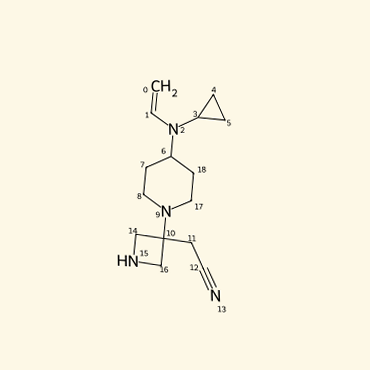 C=CN(C1CC1)C1CCN(C2(CC#N)CNC2)CC1